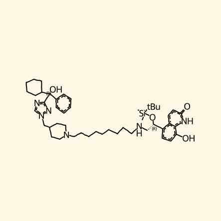 CC(C)(C)[Si](C)(C)O[C@@H](CNCCCCCCCCCN1CCC(Cn2cnc([C@](O)(c3ccccc3)C3CCCCC3)n2)CC1)c1ccc(O)c2[nH]c(=O)ccc12